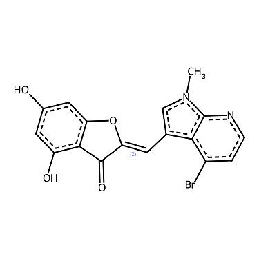 Cn1cc(/C=C2\Oc3cc(O)cc(O)c3C2=O)c2c(Br)ccnc21